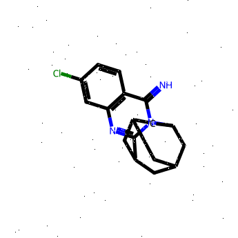 N=c1c2ccc(Cl)cc2nc2n1C1CC3CC(CC2C3)C1